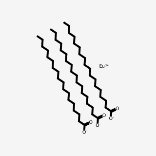 CCCCCCCCCCCCCCCCCC(=O)[O-].CCCCCCCCCCCCCCCCCC(=O)[O-].CCCCCCCCCCCCCCCCCC(=O)[O-].[Eu+3]